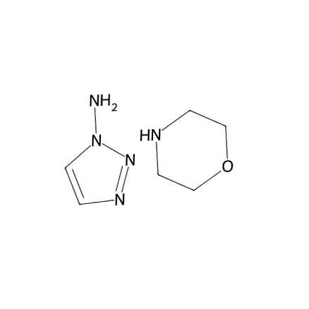 C1COCCN1.Nn1ccnn1